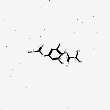 CNC(=O)Oc1cc(C)c(NC(=O)C(C)Cl)c(C)c1